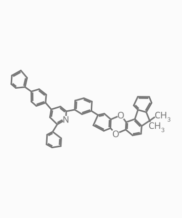 CC1(C)c2ccccc2-c2c1ccc1c2Oc2cc(-c3cccc(-c4cc(-c5ccc(-c6ccccc6)cc5)cc(-c5ccccc5)n4)c3)ccc2O1